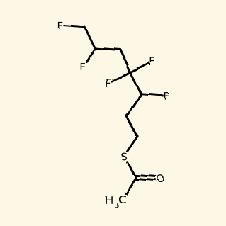 CC(=O)SCCC(F)C(F)(F)CC(F)CF